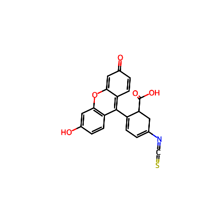 O=C(O)C1CC(N=C=S)=CC=C1c1c2ccc(=O)cc-2oc2cc(O)ccc12